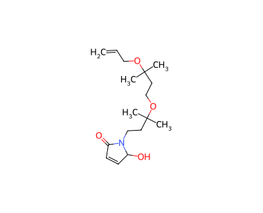 C=CCOC(C)(C)CCOC(C)(C)CCN1C(=O)C=CC1O